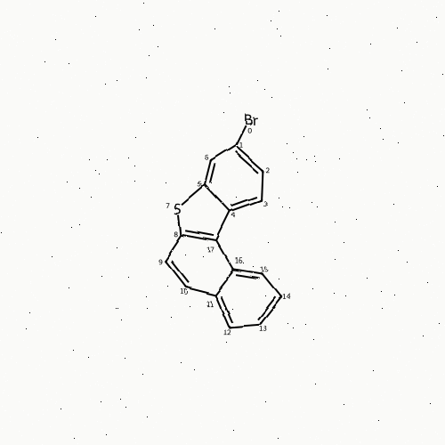 Brc1ccc2c(c1)sc1ccc3ccccc3c12